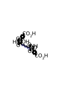 O=C1NC(=O)N(c2ccc(C(=O)O)cc2)C(=O)/C1=C/C=C/C=C/c1c(O)n(-c2ccc(C(=O)O)cc2)c(=O)[nH]c1=O